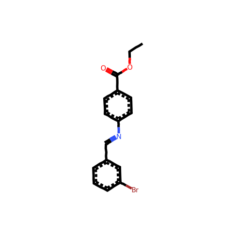 CCOC(=O)c1ccc(N=Cc2cccc(Br)c2)cc1